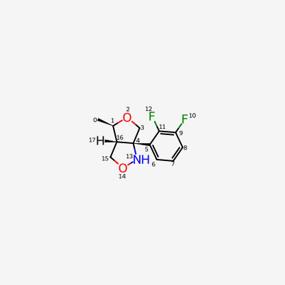 C[C@H]1OC[C@]2(c3cccc(F)c3F)NOC[C@H]12